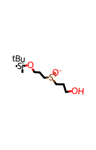 CC(C)(C)[Si](C)(C)OCCC[S+]([O-])CCCO